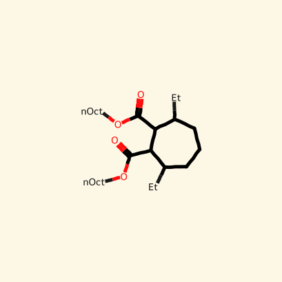 CCCCCCCCOC(=O)C1C(CC)CCCC(CC)C1C(=O)OCCCCCCCC